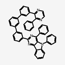 c1ccc(-c2nccnc2-c2cccc(-c3cccc(-c4cccc(-c5nc(-c6ccccc6)c6c(n5)c5ccccc5n6-c5ccccc5)c4)c3)c2)cc1